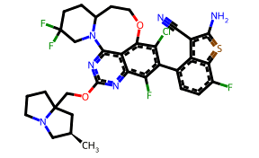 C[C@H]1CN2CCCC2(COc2nc3c4c(c(Cl)c(-c5ccc(F)c6sc(N)c(C#N)c56)c(F)c4n2)OCCC2CCC(F)(F)CN32)C1